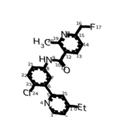 CCc1ccnc(-c2cc(NC(=O)c3ccc(CF)nc3C)ccc2Cl)c1